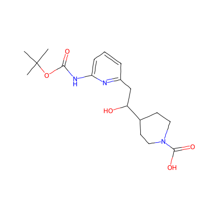 CC(C)(C)OC(=O)Nc1cccc(CC(O)C2CCN(C(=O)O)CC2)n1